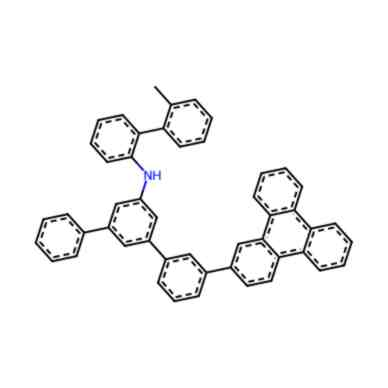 Cc1ccccc1-c1ccccc1Nc1cc(-c2ccccc2)cc(-c2cccc(-c3ccc4c5ccccc5c5ccccc5c4c3)c2)c1